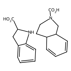 O=C(O)C1Cc2ccccc2N1.O=C(O)N1CCC2C=CC=CC2C1